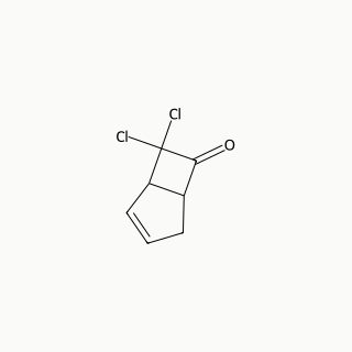 O=C1C2CC=CC2C1(Cl)Cl